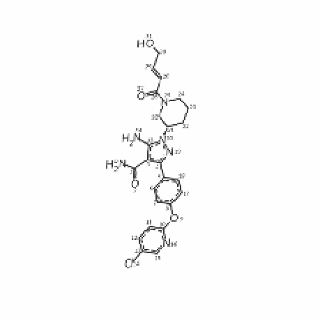 NC(=O)c1c(-c2ccc(Oc3ccc(Cl)cn3)cc2)nn([C@@H]2CCCN(C(=O)C=CCO)C2)c1N